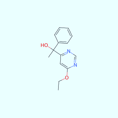 CCOc1cc(C(C)(O)c2ccccc2)ncn1